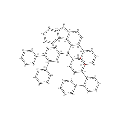 c1ccc(-c2ccccc2-c2ccc(N(c3ccc(-c4ccccc4)c(-c4ccccc4)c3)c3c(-c4ccccc4)ccc4sc5ccccc5c34)cc2)cc1